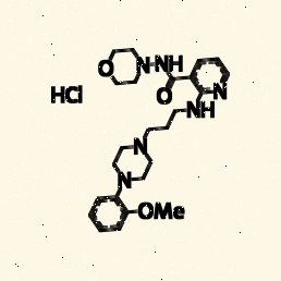 COc1ccccc1N1CCN(CCCNc2ncccc2C(=O)NN2CCOCC2)CC1.Cl